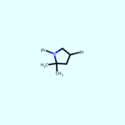 CC(C)C1CN(C(C)C)C(C)(C)C1